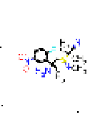 C/N=S(/C[C@](C)(N)c1cc([N+](=O)[O-])ccc1F)C(C)(C)C#N